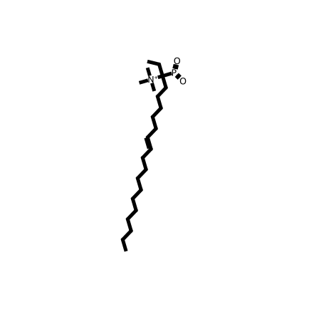 CCCCCCCCCCC=CCCCCCC(CC)(P(=O)=O)[N+](C)(C)C